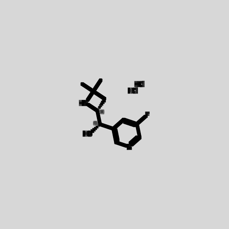 CC1(C)C[C@H]([C@@H](O)c2cncc(F)c2)N1.Cl.Cl